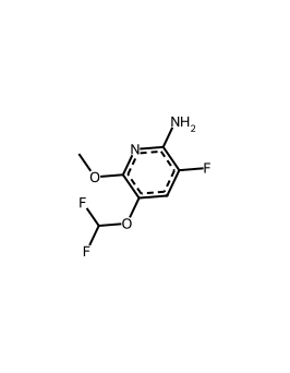 COc1nc(N)c(F)cc1OC(F)F